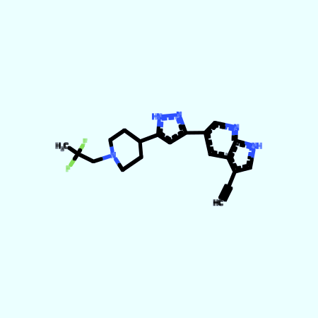 C#Cc1c[nH]c2ncc(-c3cc(C4CCN(CC(C)(F)F)CC4)[nH]n3)cc12